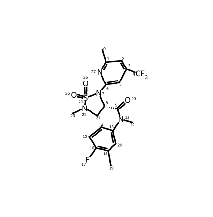 Cc1cc(C(F)(F)F)cc(N2[C@H](C(=O)N(C)c3ccc(F)c(C)c3)CN(C)S2(=O)=O)n1